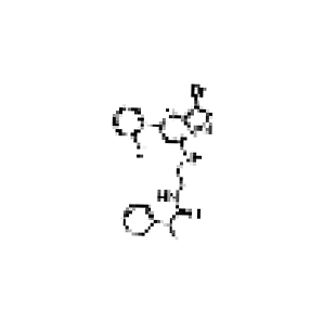 CC(C(=O)NCCNc1cc(-c2ccccc2Cl)nc2c(Br)cnn12)C1=CC=CCC1